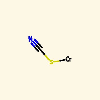 N#C[S][Cr]